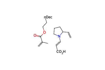 C=C(C)C(=O)OCCCCCCCCCCCC.C=CC1CCCN1C=CC(=O)O